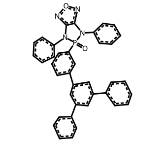 O=P1(c2cccc(-c3cc(-c4ccccc4)cc(-c4ccccc4)c3)c2)N(c2ccccc2)c2nonc2N1c1ccccc1